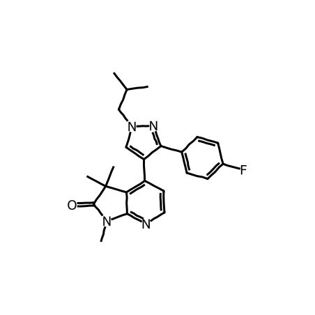 CC(C)Cn1cc(-c2ccnc3c2C(C)(C)C(=O)N3C)c(-c2ccc(F)cc2)n1